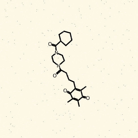 CC1=C(C)C(=O)C(CCCC(=O)N2CCN(C(=O)C3CCCCC3)CC2)=C(C)C1=O